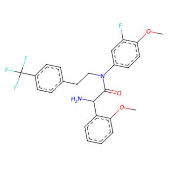 COc1ccc(N(CCc2ccc(C(F)(F)F)cc2)C(=O)C(N)c2ccccc2OC)cc1F